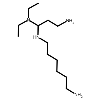 CCN(CC)C(CCN)NCCCCCCN